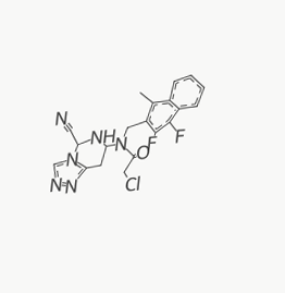 Cc1c(CN(C(=O)CCl)C2Cc3nncn3C(C#N)N2)c(F)c(F)c2ccccc12